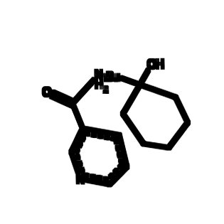 CCCCC1(O)CCCCC1.NC(=O)c1cccnc1